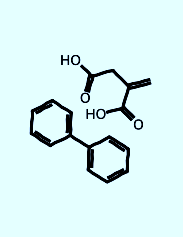 C=C(CC(=O)O)C(=O)O.c1ccc(-c2ccccc2)cc1